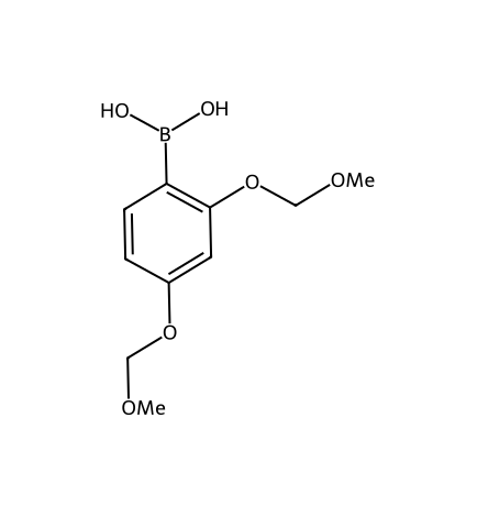 COCOc1ccc(B(O)O)c(OCOC)c1